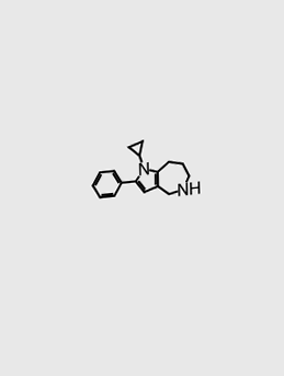 c1ccc(-c2cc3c(n2C2CC2)CCCNC3)cc1